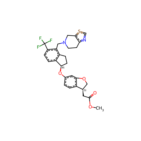 COC(=O)C[C@@H]1COc2cc(O[C@@H]3CCc4c3ccc(C(F)(F)F)c4CN3CCc4ncsc4C3)ccc21